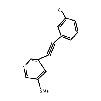 CSc1cncc(C#Cc2cccc(Cl)c2)c1